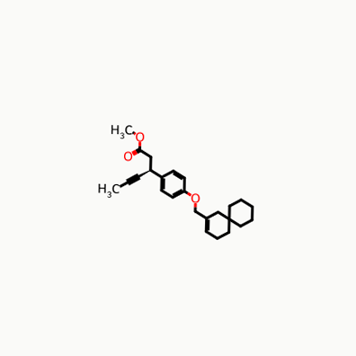 CC#C[C@@H](CC(=O)OC)c1ccc(OCC2=CCCC3(CCCCC3)C2)cc1